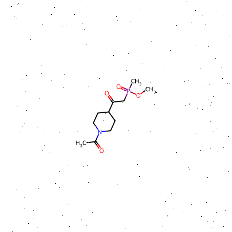 COP(C)(=O)CC(=O)C1CCN(C(C)=O)CC1